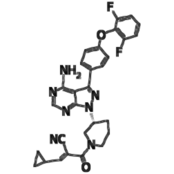 N#C/C(=C\C1CC1)C(=O)N1CCC[C@@H](n2nc(-c3ccc(Oc4c(F)cccc4F)cc3)c3c(N)ncnc32)C1